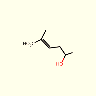 C/C(=C\CC(C)O)C(=O)O